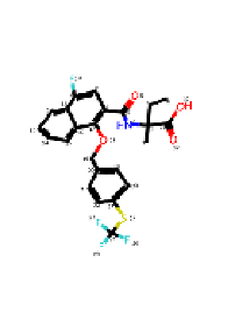 CCC(C)(NC(=O)c1cc(F)c2ccccc2c1OCc1ccc(SC(F)(F)F)cc1)C(=O)O